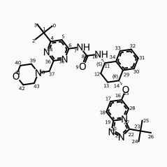 CC(C)(C)c1cc(NC(=O)N[C@H]2CC[C@@H](Oc3ccc4nnc(C(C)(C)C)n4c3)c3ccccc32)nc(CN2CCOCC2)n1